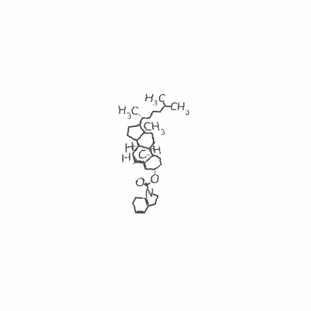 CC(C)CCC[C@@H](C)C1CCC2[C@@H]3CC=C4C[C@@H](OC(=O)N5CCC6=C5CCC=C6)CC[C@]4(C)[C@H]3CC[C@]12C